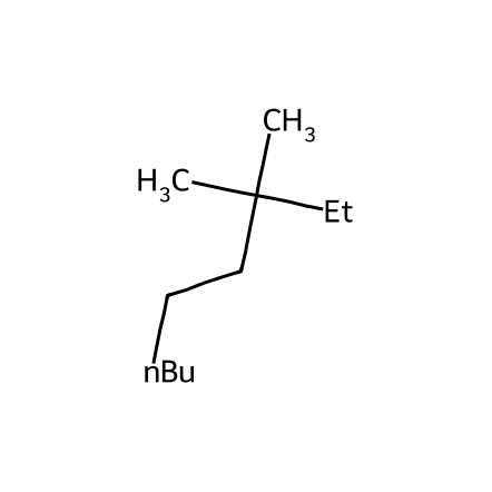 CCCCCCC(C)(C)CC